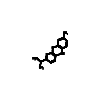 Cc1ccc2c(c1)Oc1cc(C(C)C)ccc1N2